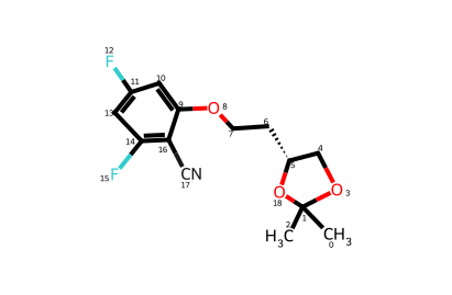 CC1(C)OC[C@@H](CCOc2cc(F)cc(F)c2C#N)O1